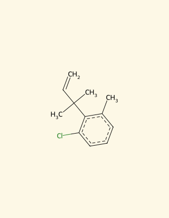 C=CC(C)(C)c1c(C)cccc1Cl